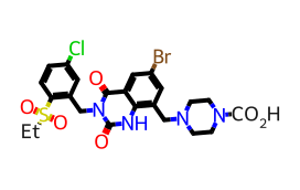 CCS(=O)(=O)c1ccc(Cl)cc1Cn1c(=O)[nH]c2c(CN3CCN(C(=O)O)CC3)cc(Br)cc2c1=O